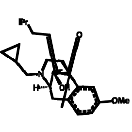 COc1ccc2c(c1)[C@]13CCN(CC4CC4)[C@H](C2)[C@]1(O)C/C(=C\CC(C)C)C(=O)C3